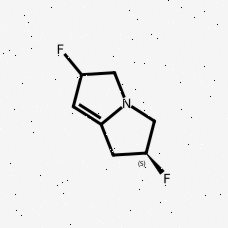 FC1C=C2C[C@H](F)CN2C1